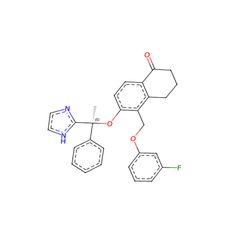 C[C@](Oc1ccc2c(c1COc1cccc(F)c1)CCCC2=O)(c1ccccc1)c1ncc[nH]1